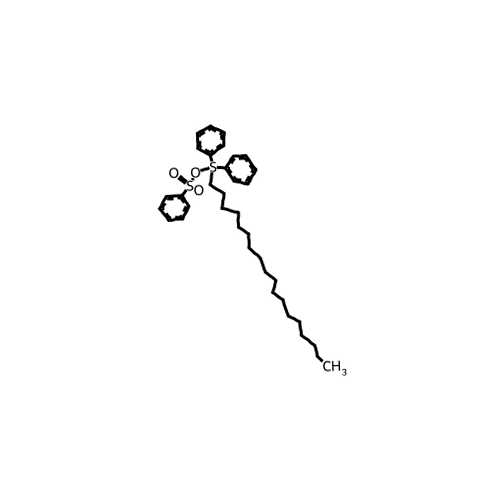 CCCCCCCCCCCCCCCCCCS(OS(=O)(=O)c1ccccc1)(c1ccccc1)c1ccccc1